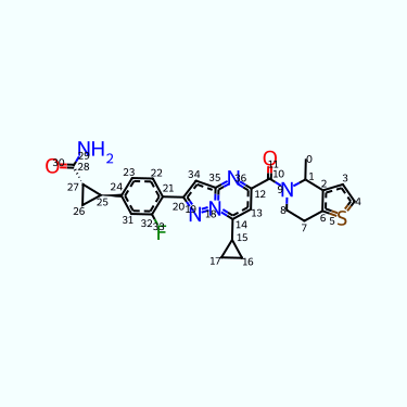 CC1c2ccsc2CCN1C(=O)c1cc(C2CC2)n2nc(-c3ccc([C@H]4C[C@@H]4C(N)=O)cc3F)cc2n1